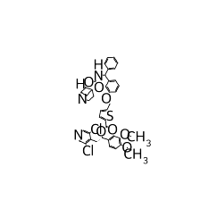 COc1ccc([C@H](Cc2c(Cl)cncc2Cl)OC(=O)c2ccc(COc3cccc([C@@H](NC(=O)O[C@H]4C5=NCCC4C5)c4ccccc4)c3)s2)cc1OC